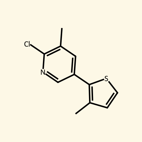 Cc1cc(-c2sccc2C)cnc1Cl